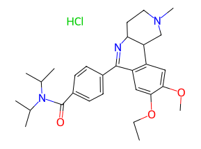 CCOc1cc2c(cc1OC)C1CN(C)CCC1N=C2c1ccc(C(=O)N(C(C)C)C(C)C)cc1.Cl